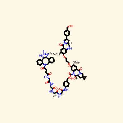 COc1cc2c(cc1OCCCOc1cc3c(cc1OC)C(=O)N1CC4(CC4)C[C@H]1C(O)N3C(=O)OCc1ccc(NC(=O)[C@H](C)NC(=O)[C@@H](NC(=O)CNC(=O)CNC(=O)CCC(=O)N3Cc4ccccc4C4=C(NNN4C(C)C)c4ccccc43)C(C)C)cc1)NC[C@@H]1CC(c3ccc(CO)cc3)=CN1C2=O